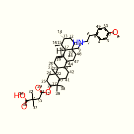 COc1ccc(CCNCC23CC[C@@H](C)[C@H](C)[C@H]2C2=CCC4C5(C)CCC(OC(=O)CC(C)(C)C(=O)O)C(C)(C)C5CC[C@@]4(C)[C@]2(C)CC3)cc1